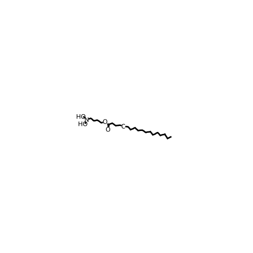 CCCCCCCCCCCCCCCCCC(=O)OCCCCN(O)O